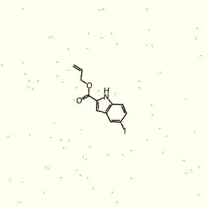 C=CCOC(=O)c1cc2cc(I)ccc2[nH]1